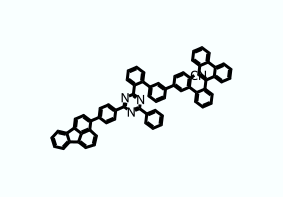 N#Cc1ccc(-c2cccc(-c3ccccc3-c3nc(-c4ccccc4)nc(-c4ccc(-c5ccc6c7c(cccc57)-c5ccccc5-6)cc4)n3)c2)cc1-c1ccccc1-c1cc2ccccc2c2ccccc12